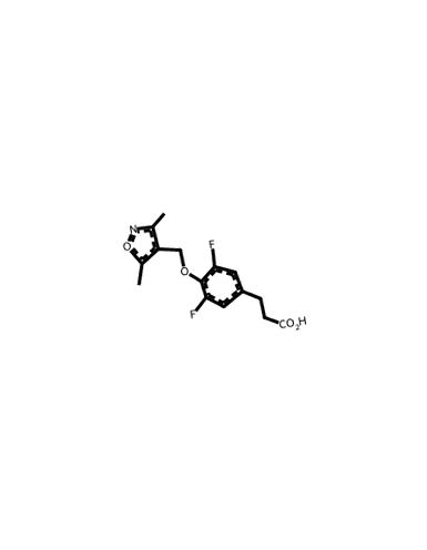 Cc1noc(C)c1COc1c(F)cc(CCC(=O)O)cc1F